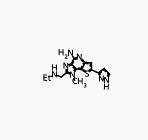 CCNCc1nc2c(N)nc3cc(-c4cc[nH]n4)sc3c2n1C